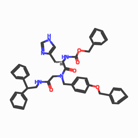 O=C(CN(Cc1ccc(OCc2ccccc2)cc1)C(=O)[C@H](Cc1c[nH]cn1)NC(=O)OCc1ccccc1)NCC(c1ccccc1)c1ccccc1